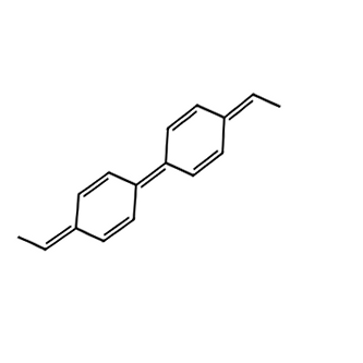 CC=c1ccc(=c2ccc(=CC)cc2)cc1